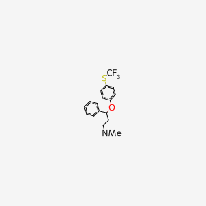 CNCCC(Oc1ccc(SC(F)(F)F)cc1)c1ccccc1